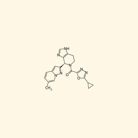 Cc1ccc2cc([C@H]3c4nc[nH]c4CCN3C(=O)c3nnc(C4CC4)o3)nn2c1